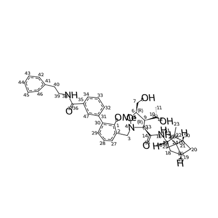 COc1c(CN2O[C@@H](CO)[C@@H]([C@H](C)O)[C@H]2C(=O)N[C@H]2C[C@H]3C[C@@H]([C@@H]2C)C3(C)C)cccc1-c1cccc(C(=O)NCCc2ccccc2)c1